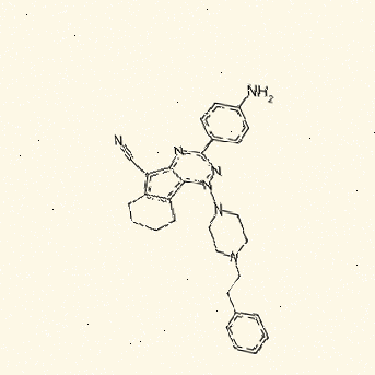 N#Cc1c2nc(-c3ccc(N)cc3)nn(N3CCN(CCc4ccccc4)CC3)c-2c2c1CCCC2